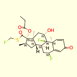 CCC(=O)O[C@@]1(C(=O)SCF)[C@H](C)C[C@H]2[C@@H]3C[C@H](F)C4=CC(=O)C=C[C@]4(C)[C@@]3(F)[C@@H](O)C[C@@]21C